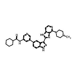 CN1CCN(c2nccc3[nH]c(-c4n[nH]c5ccc(-c6cncc(NC(=O)C7CCCCC7)c6)cc45)nc23)CC1